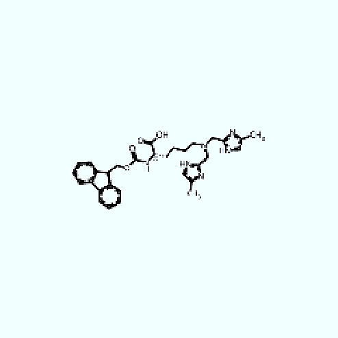 Cc1c[nH]c(CN(CCCC[C@H](NC(=O)OCC2c3ccccc3-c3ccccc32)C(=O)O)Cc2nc(C)c[nH]2)n1